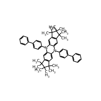 CC1(C)c2cc3c(cc2C(C)(C)C1(C)C)N(c1ccc(-c2ccccc2)cc1)c1cc2c(cc1N3c1ccc(-c3ccccc3)cc1)C(C)(C)C(C)(C)C2(C)C